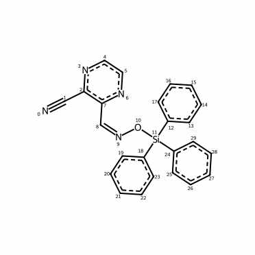 N#Cc1nccnc1C=NO[Si](c1ccccc1)(c1ccccc1)c1ccccc1